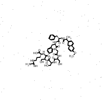 COc1ccc2cc(C(C)C(=O)N[C@H](Cc3ccccc3)C(=O)NC(Cc3ccccc3)C(=O)NCC(=O)NC(CO)C(=O)NC(CO)C(=O)NC(CO)C(=O)N[C@@H](CCCNC(=N)N)C(=O)O)ccc2c1